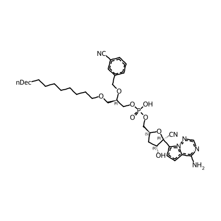 CCCCCCCCCCCCCCCCCCOC[C@H](COP(=O)(O)OC[C@@H]1C[C@@H](O)[C@](C#N)(c2ccc3c(N)ncnn23)O1)OCc1cccc(C#N)c1